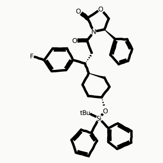 CC(C)(C)[Si](O[C@H]1CC[C@H]([C@@H](CC(=O)N2C(=O)OC[C@H]2c2ccccc2)c2ccc(F)cc2)CC1)(c1ccccc1)c1ccccc1